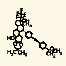 C=C(OC)c1ccc(C#Cc2ccc([C@H]3CC4(C)C(CCC4(O)C(F)(F)C(F)(F)F)C4CCC5(O)CC6(CCC5=C43)OCC(C)(C)CO6)cc2)cc1